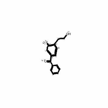 O=C(c1ccccc1)c1ccc(CCO)c([N+](=O)[O-])c1